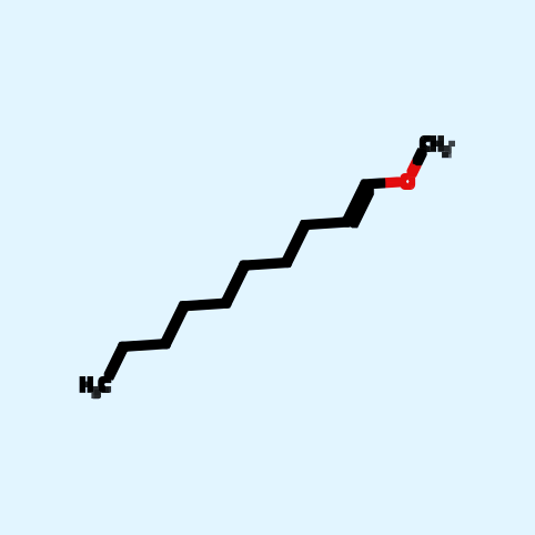 [CH2]OC=CCCCCCCCC